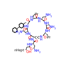 CCCCCCC[C@@H](O)CC(=O)N[C@H](CCN)C(=O)N[C@H]1CCNC(=O)[C@H](CC(C)C)NC(=O)[C@H](CN)NC(=O)[C@H](CCN)NC(=O)[C@H](CC(C)C)NC(=O)[C@@H](Cc2ccc(-c3ccccc3)cc2)NC(=O)[C@H](CCN)NC1=O